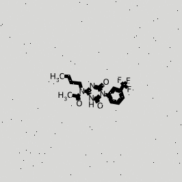 CCCCN(C(C)=O)c1nc(=O)n(-c2cccc(C(F)(F)F)c2)c(=O)[nH]1